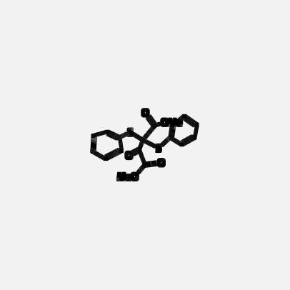 COC(=O)C(=O)C(Sc1ccccc1)(Sc1ccccc1)C(=O)OC